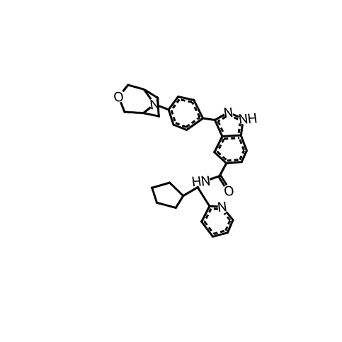 O=C(NC(c1ccccn1)C1CCCC1)c1ccc2[nH]nc(-c3ccc(N4C5CCC4COC5)cc3)c2c1